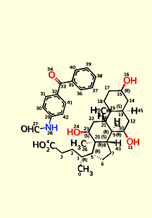 C[C@H](CCC(=O)O)[C@H]1CC[C@H]2[C@@H]3[C@H](O)C[C@@H]4C[C@H](O)CC[C@]4(C)[C@H]3C[C@H](O)[C@]12C.O=CNc1ccc(C(=O)c2ccccc2)cc1